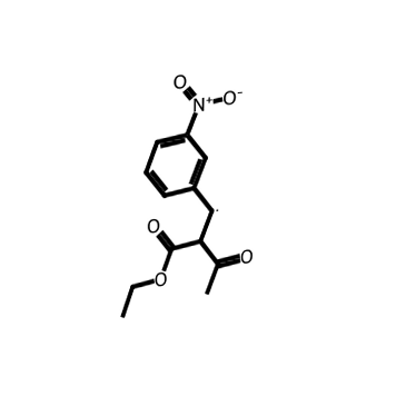 CCOC(=O)C([CH]c1cccc([N+](=O)[O-])c1)C(C)=O